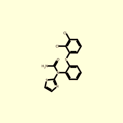 NC(=O)N(c1nccs1)c1ccccc1Sc1cccc(Cl)c1Cl